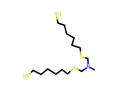 CN(CSCCCCCCS)CSCCCCCCS